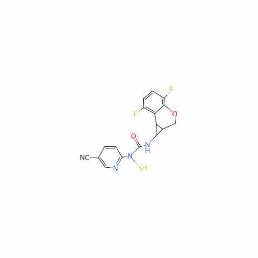 N#Cc1ccc(N(S)C(=O)NC2C3COc4c(F)ccc(F)c4C32)nc1